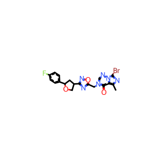 Cc1nc(Br)n2ncn(Cc3nc(C4COC(c5ccc(F)cc5)C4)no3)c(=O)c12